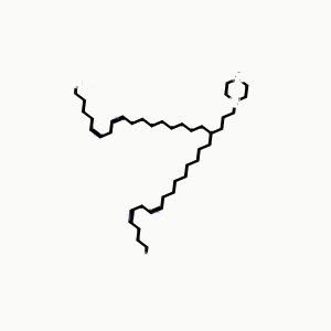 CCCC/C=C\C/C=C\CCCCCCCCC(CCCCCCCC/C=C\C/C=C\CCCCC)CCCN1CCN(C)CC1